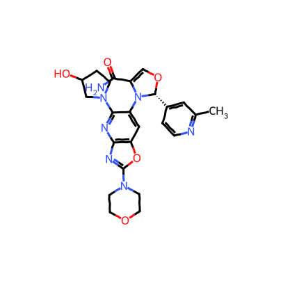 Cc1cc([C@H]2OC=C(C(N)=O)N2c2cc3oc(N4CCOCC4)nc3nc2N2CCC(O)C2)ccn1